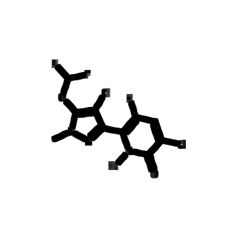 CCn1c(-c2nn(C)c(OC(F)F)c2Cl)c(F)cc(Cl)c1=O